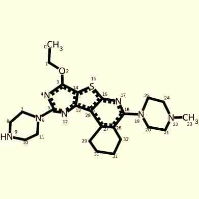 CCOc1nc(N2CCNCC2)nc2c1sc1nc(N3CCN(C)CC3)c3c(c12)CCCC3